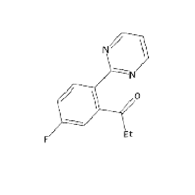 CCC(=O)c1cc(F)ccc1-c1ncccn1